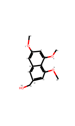 COc1cc(OC)c2c(OC)cc(CO)cc2c1